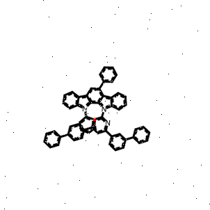 c1ccc(-c2ccc(-c3cc(-c4cccc(-c5ccccc5)c4)nc(-n4c5ccccc5c5c(-c6ccccc6)cc6c7ccccc7n(-c7ccccc7)c6c54)c3)cc2)cc1